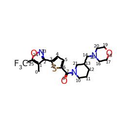 Cc1c(-c2ccc(C(=O)N3CCCC(CN4CCOCC4)C3)s2)noc1C(F)(F)F